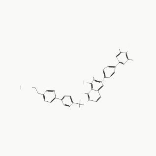 CCCc1ccc(-c2ccc(C(F)(F)Oc3ccc4cc(-c5ccc(-c6cc(F)c(F)c(F)c6)cc5)c(F)c(F)c4c3F)cc2)cc1